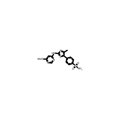 COc1cc(Nc2nc(C)c(-c3ccc(S(N)(=O)=O)cc3)s2)ncn1